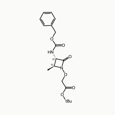 C[C@H]1[C@H](NC(=O)OCc2ccccc2)C(=O)N1OCC(=O)OC(C)(C)C